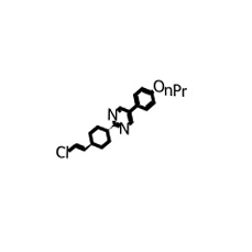 CCCOc1ccc(-c2cnc([C@H]3CC[C@H](/C=C/Cl)CC3)nc2)cc1